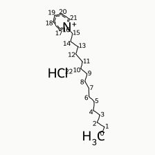 CCCCCCCCCCCCCCCC[n+]1ccccc1.Cl